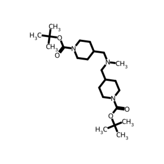 CN(CC1CCN(C(=O)OC(C)(C)C)CC1)CC1CCN(C(=O)OC(C)(C)C)CC1